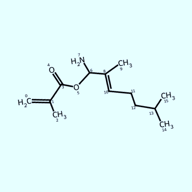 C=C(C)C(=O)OC(N)C(C)=CCCC(C)C